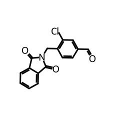 O=Cc1ccc(CN2C(=O)c3ccccc3C2=O)c(Cl)c1